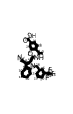 CC(NC(=O)c1c(C#N)c2ccccc2n1Cc1cccc(C(F)(F)F)c1)c1ccc(C(=O)O)cc1